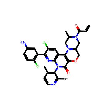 C=CC(=O)N1CC2COc3c(c4cc(Cl)c(-c5cc(N)ccc5Cl)nc4n(-c4c(C)ccnc4C(C)C)c3=O)N2CC1C